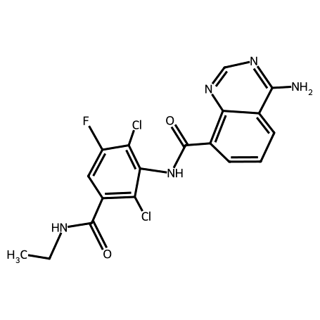 CCNC(=O)c1cc(F)c(Cl)c(NC(=O)c2cccc3c(N)ncnc23)c1Cl